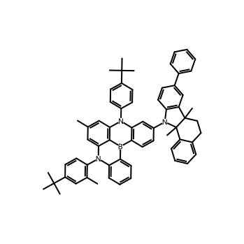 Cc1cc2c3c(c1)N(c1ccc(C(C)(C)C)cc1C)c1ccccc1B3c1ccc(N3c4ccc(-c5ccccc5)cc4C4(C)CCc5ccccc5C34C)cc1N2c1ccc(C(C)(C)C)cc1